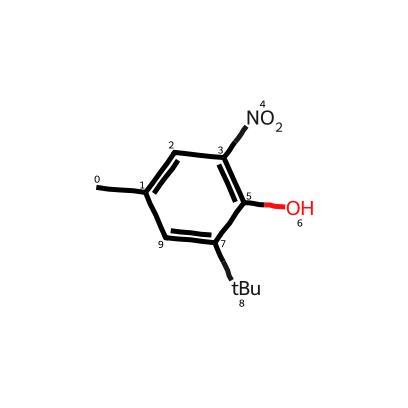 Cc1cc([N+](=O)[O-])c(O)c(C(C)(C)C)c1